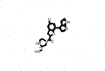 O=C(C1Cc2cc(Cl)cc(-c3ccnc4[nH]ccc34)c2O1)N1CCN[C@@H](CO)C1